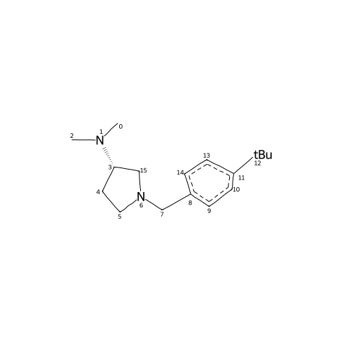 CN(C)[C@H]1CCN(Cc2ccc(C(C)(C)C)cc2)C1